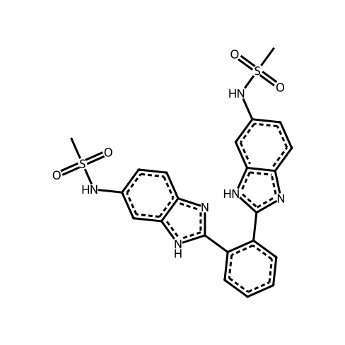 CS(=O)(=O)Nc1ccc2nc(-c3ccccc3-c3nc4ccc(NS(C)(=O)=O)cc4[nH]3)[nH]c2c1